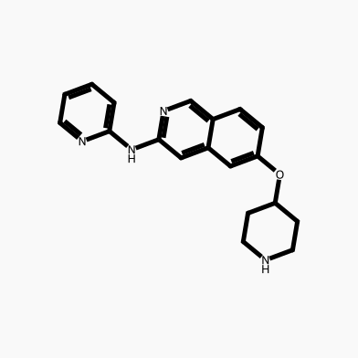 c1ccc(Nc2cc3cc(OC4CCNCC4)ccc3cn2)nc1